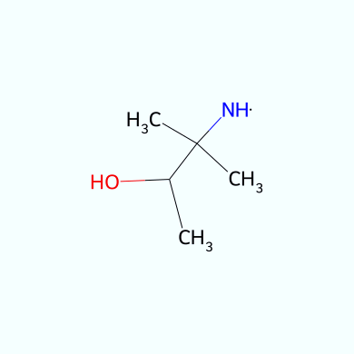 CC(O)C(C)(C)[NH]